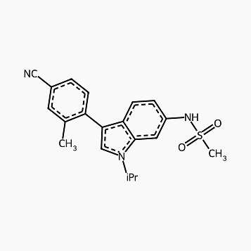 Cc1cc(C#N)ccc1-c1cn(C(C)C)c2cc(NS(C)(=O)=O)ccc12